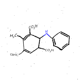 CC1=C(C(=O)O)C(Nc2ccccc2)C(C(=O)O)C=C1C=O